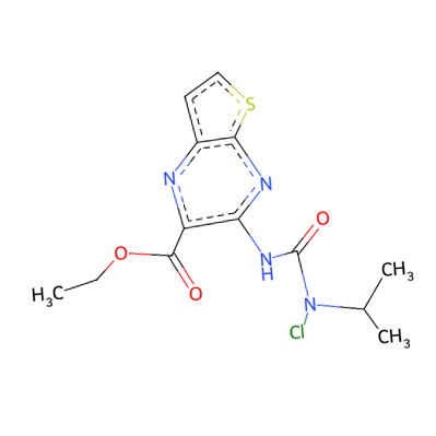 CCOC(=O)c1nc2ccsc2nc1NC(=O)N(Cl)C(C)C